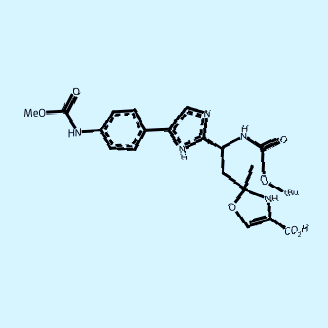 COC(=O)Nc1ccc(-c2cnc(C(CC3(C)NC(C(=O)O)=CO3)NC(=O)OC(C)(C)C)[nH]2)cc1